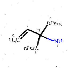 C=CC([NH])(CCCCC)CCCCC